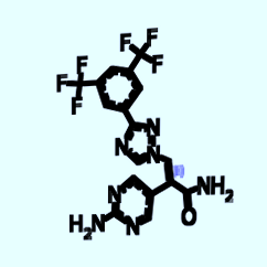 NC(=O)/C(=C/n1cnc(-c2cc(C(F)(F)F)cc(C(F)(F)F)c2)n1)c1cnc(N)nc1